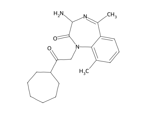 CC1=NC(N)C(=O)N(CC(=O)C2CCCCCC2)c2c(C)cccc21